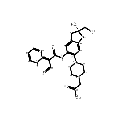 C[C@@]1(CO)Cc2cc(NC(=O)/C(C=N)=C3\N=CC=CN3)c(N3CCN(CC(N)=O)CC3)cc2O1